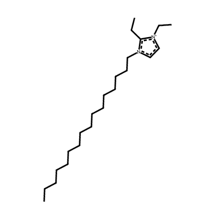 CCCCCCCCCCCCCCCCn1cc[n+](CC)c1CC